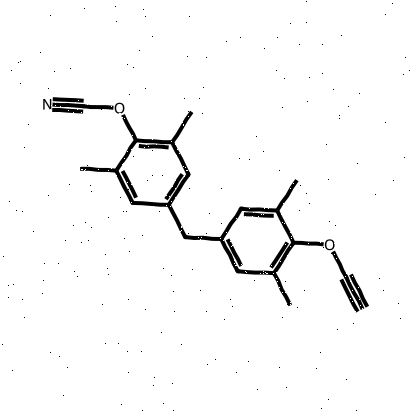 C#COc1c(C)cc(Cc2cc(C)c(OC#N)c(C)c2)cc1C